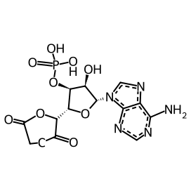 Nc1ncnc2c1ncn2[C@@H]1O[C@H](C2OC(=O)CCC2=O)[C@@H](OP(=O)(O)O)[C@H]1O